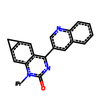 CC(C)n1c(=O)nc(-c2cnc3ccccc3c2)c2cc3c(cc21)C3